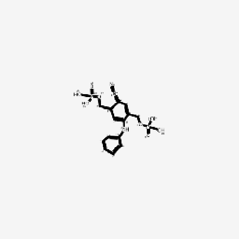 [N-]=[N+]=C1C=C(COP(=O)(O)O)C(Nc2ccccc2)=CC1COP(=O)(O)O